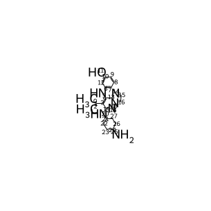 CC(C)C1=C(Nc2cccc(O)c2)C2=NCCN2N=C1N[C@H]1CC[C@H](N)CC1